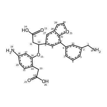 NCc1cccc(-c2cc(C(CC(=O)O)Oc3cc(N)ccc3CC(=O)O)cc3ccoc23)c1